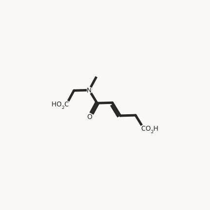 CN(CC(=O)O)C(=O)C=CCC(=O)O